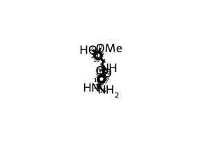 COc1cc(CCNS(=O)(=O)c2ccc(C(=N)N)cc2)ccc1O